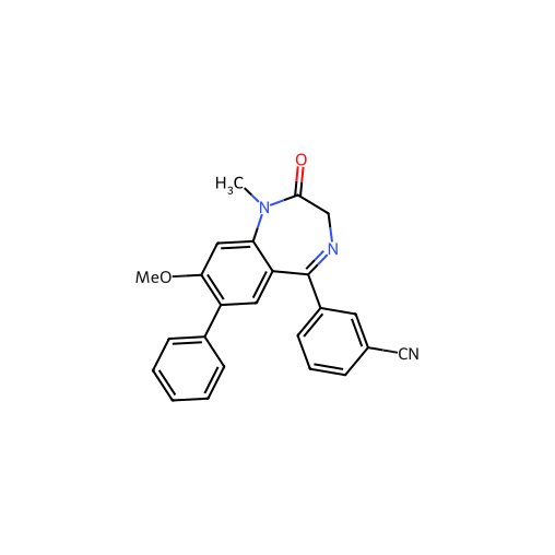 COc1cc2c(cc1-c1ccccc1)C(c1cccc(C#N)c1)=NCC(=O)N2C